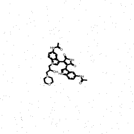 CC(=O)Nc1ccc2[nH]cc(C3=C(c4cn(CC(O)CN5CCOCC5)c5ccc(NC(C)=O)cc45)C(=O)NC3=O)c2c1